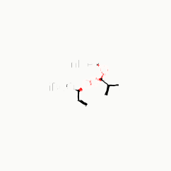 C=C(C)C(=O)OCCCCCC.C=CC(=O)OCC(C)C